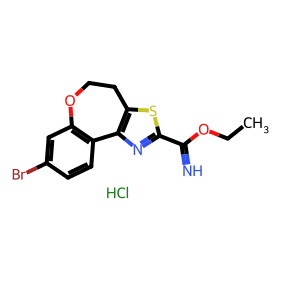 CCOC(=N)c1nc2c(s1)CCOc1cc(Br)ccc1-2.Cl